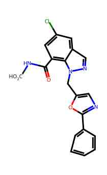 O=C(O)NC(=O)c1cc(Cl)cc2cnn(Cc3cnc(-c4ccccc4)o3)c12